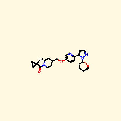 CC1(C(=O)N2CCC(COc3ccc(-c4ccnn4C4CCCCO4)nc3)CC2)CC1